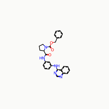 O=C(Nc1cccc(Nc2ncnc3ccccc23)c1)C1CCCN1C(=O)OCc1ccccc1